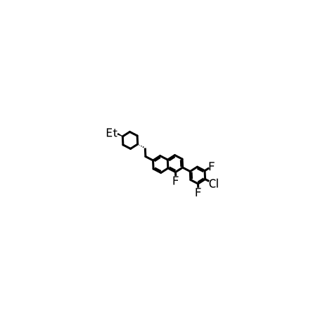 CC[C@H]1CC[C@H](CCc2ccc3c(F)c(-c4cc(F)c(Cl)c(F)c4)ccc3c2)CC1